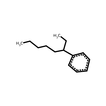 [CH2]CC(CCCCC)c1ccccc1